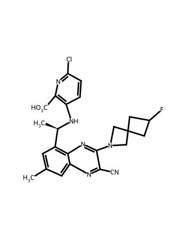 Cc1cc([C@@H](C)Nc2ccc(Cl)nc2C(=O)O)c2nc(N3CC4(CC(F)C4)C3)c(C#N)nc2c1